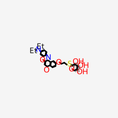 CCN(CC)c1ccc2nc3c4cc(OCCCS[C@H]5OC[C@@H](O)[C@@H](O)[C@@H]5O)ccc4c(=O)cc-3oc2c1